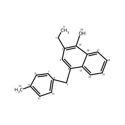 CCc1cc(Cc2ccc(C)cc2)c2ccccc2c1O